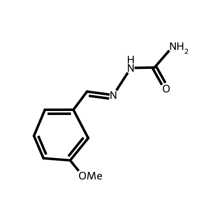 COc1cccc(C=NNC(N)=O)c1